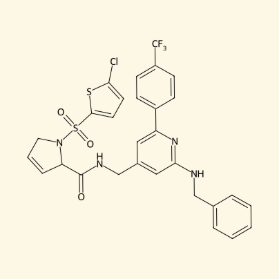 O=C(NCc1cc(NCc2ccccc2)nc(-c2ccc(C(F)(F)F)cc2)c1)C1C=CCN1S(=O)(=O)c1ccc(Cl)s1